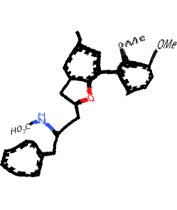 COc1cccc(-c2cc(C)cc3c2OC(CC(Cc2ccccc2)NC(=O)O)C3)c1OC